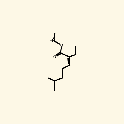 CCC(=CCCC(C)C)C(=O)ONC